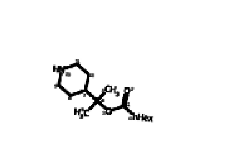 CCCCCCC(=O)OC(C)(C)C1CCNCC1